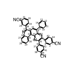 N#Cc1ccc(-c2nc3c(-c4ccccc4)cc4c(-c5cccc(C#N)c5)nc5ccccc5c4c3nc2-c2ccc(C#N)cc2)cc1